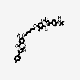 COc1cc2c(cc1OCCCCCOc1cc3c(cc1C)C(=O)N1C=C(c4ccc(NC(C)(C)C)cc4)C[C@H]1C=N3)N=C[C@@H]1CC(c3ccc(C)cc3)=CN1C2=O